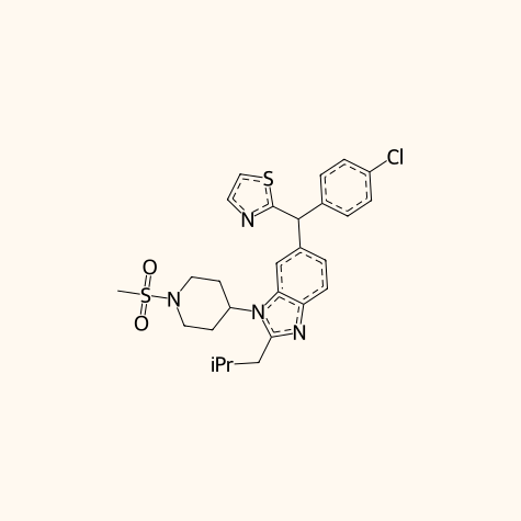 CC(C)Cc1nc2ccc(C(c3ccc(Cl)cc3)c3nccs3)cc2n1C1CCN(S(C)(=O)=O)CC1